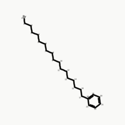 BrCCCCCCCCCCCCCCCCCc1ccccc1